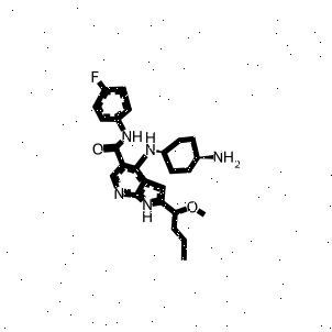 CCCC(OC)c1cc2c(N[C@H]3CC[C@H](N)CC3)c(C(=O)Nc3ccc(F)cc3)cnc2[nH]1